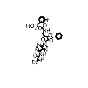 CCNC(=O)Nc1ncnc2c1ncn2C1OC(CNC(=O)Oc2c(F)cccc2C(=O)O)C2O[C@H](c3ccccc3)OC21